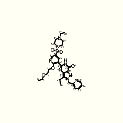 CCOCCOc1ncc(S(=O)(=O)N2CCN(CC)CC2)cc1-c1nc2c(CC)n(Cc3ccccn3)nc2c(=O)[nH]1